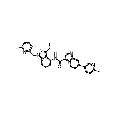 CCc1nn(Cc2cccc(C)n2)c2cccc(NC(=O)c3cnc4cc(-c5ccc(C)nc5)ccn34)c12